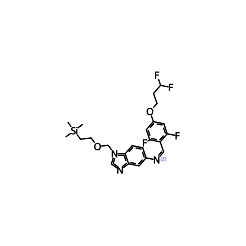 C[Si](C)(C)CCOCn1cnc2cc(/N=C\c3c(F)cc(OCCC(F)F)cc3F)ccc21